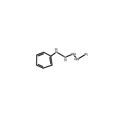 [Pt][NH]NNNc1ccccc1